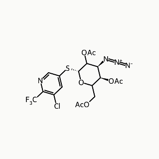 CC(=O)OCC1O[C@H](Sc2cnc(C(F)(F)F)c(Cl)c2)C(OC(C)=O)[C@@H](N=[N+]=[N-])[C@H]1OC(C)=O